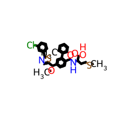 COC(c1ccc(C(=O)NC(CCSC)C(=O)O)c(-c2ccccc2C)c1)c1cnc(-c2cccc(Cl)c2)s1